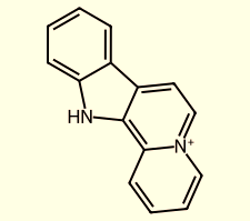 c1ccc2c(c1)[nH]c1c2cc[n+]2ccccc12